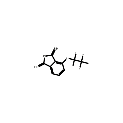 CC(F)(F)C(F)(F)Oc1cccc2c1C(=N)NC2=N